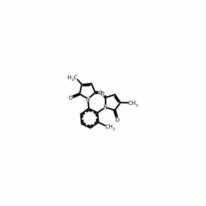 CC1=CC(=O)N(c2cccc(C)c2N2C(=O)C=C(C)C2=O)C1=O